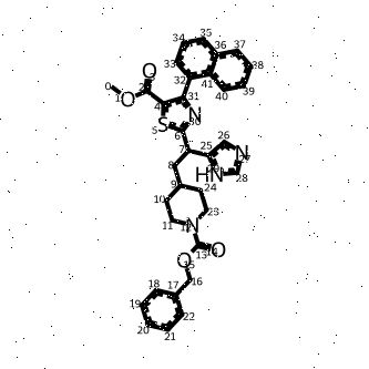 COC(=O)c1sc(C(CC2CCN(C(=O)OCc3ccccc3)CC2)c2cnc[nH]2)nc1-c1cccc2ccccc12